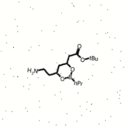 CCCB1OC(CCN)CC(CC(=O)OC(C)(C)C)O1